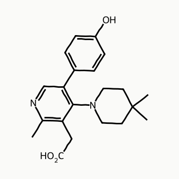 Cc1ncc(-c2ccc(O)cc2)c(N2CCC(C)(C)CC2)c1CC(=O)O